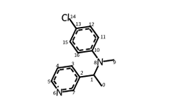 CC(c1cccnc1)N(C)c1ccc(Cl)cc1